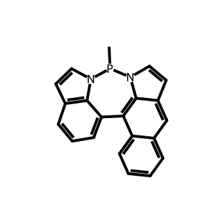 Cp1n2ccc3cccc(c4c5ccccc5cc5ccn1c54)c32